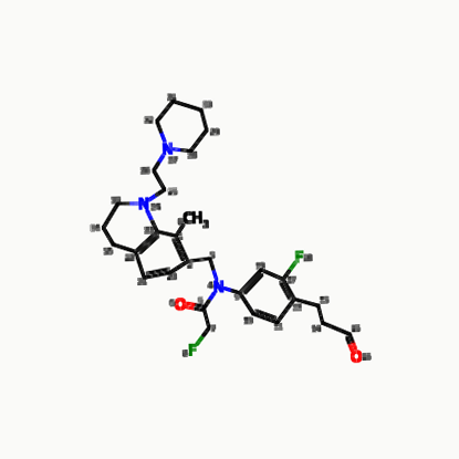 Cc1c(CN(C(=O)CF)c2ccc(CCC=O)c(F)c2)ccc2c1N(CCN1CCCCC1)CCC2